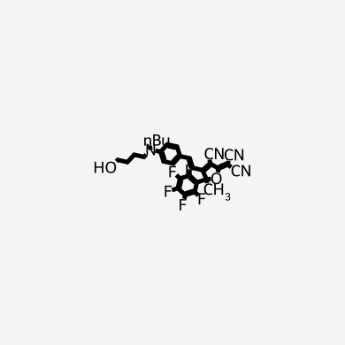 CCCCN(CCCCO)c1ccc(/C=C/C2=C(C#N)C(=C(C#N)C#N)OC2(C)c2c(F)c(F)c(F)c(F)c2F)cc1